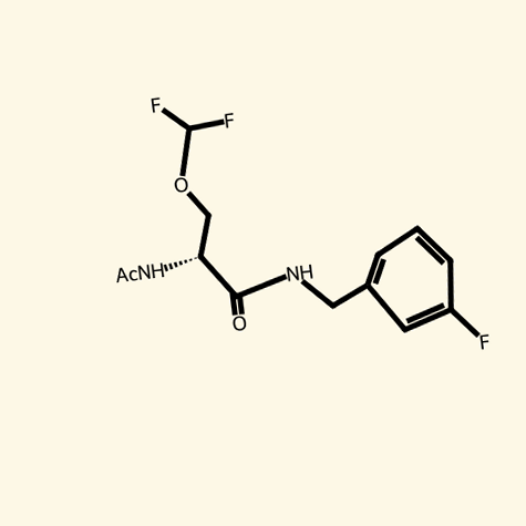 CC(=O)N[C@H](COC(F)F)C(=O)NCc1cccc(F)c1